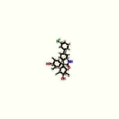 Cc1cc(C2(c3cc(C)c(O)c(C)c3)C(=O)Nc3cc(-c4cccc(Br)c4)ccc32)cc(C)c1O